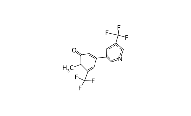 CC1C(=O)C=C(c2cncc(C(F)(F)F)c2)C=C1C(F)(F)F